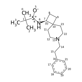 CC(C)(C)[S+]([O-])N[C@H]1CCC12CCN(CCc1ccccc1)CC2